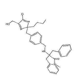 CCCCC1(Cc2ccc(CNC(Cc3ccccc3)(Cc3ccccc3)C(=O)OC)cc2)N=C(Cl)C(CO)=N1